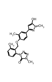 Cc1cc(-c2cc(O)n(C)n2)ccc1OCc1c(C)cccc1-n1nnn(C)c1=O